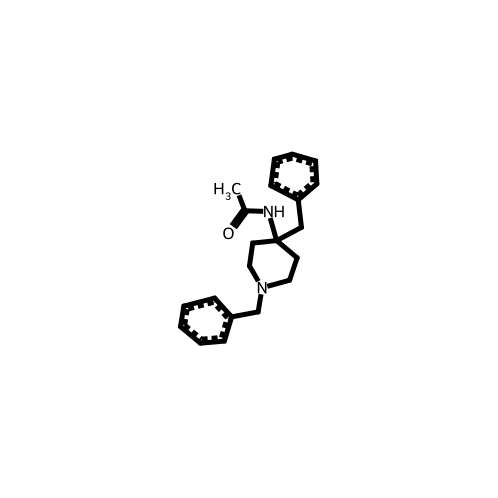 CC(=O)NC1(Cc2ccccc2)CCN(Cc2ccccc2)CC1